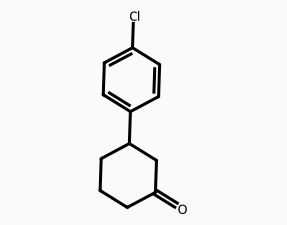 O=C1CCCC(c2ccc(Cl)cc2)C1